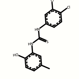 Cc1ccc(O)c(NC(=S)Nc2ccc(Cl)c(Cl)c2)c1